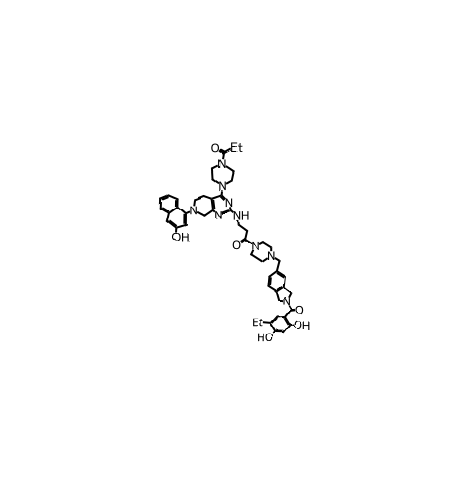 CCC(=O)N1CCN(c2nc(NCCC(=O)N3CCN(Cc4ccc5c(c4)CN(C(=O)c4cc(CC)c(O)cc4O)C5)CC3)nc3c2CCN(c2cc(O)cc4ccccc24)C3)CC1